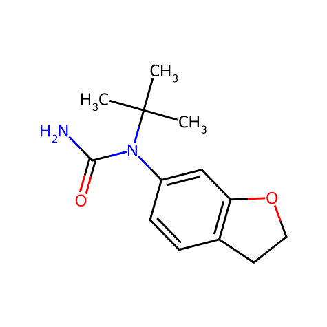 CC(C)(C)N(C(N)=O)c1ccc2c(c1)OCC2